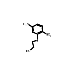 Nc1ccc([N+](=O)[O-])c(SCCO)c1